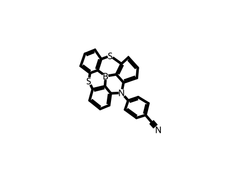 N#Cc1ccc(N2c3cccc4c3B3c5c(cccc5Sc5cccc2c53)S4)cc1